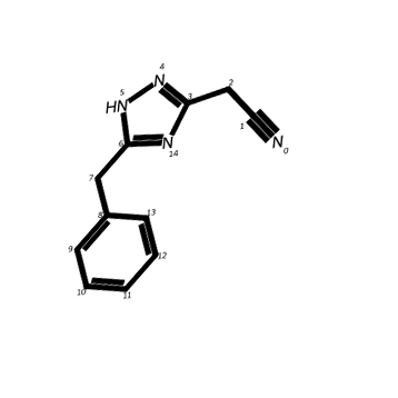 N#CCc1n[nH]c(Cc2ccccc2)n1